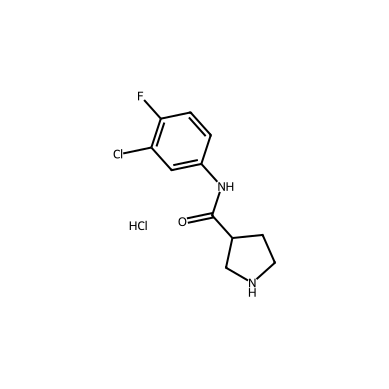 Cl.O=C(Nc1ccc(F)c(Cl)c1)C1CCNC1